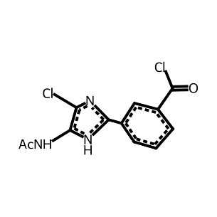 CC(=O)Nc1[nH]c(-c2cccc(C(=O)Cl)c2)nc1Cl